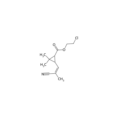 CC(C#N)=CC1C(C(=O)OCCCl)C1(C)C